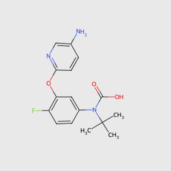 CC(C)(C)N(C(=O)O)c1ccc(F)c(Oc2ccc(N)cn2)c1